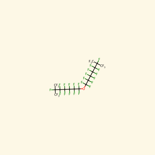 FC(F)(F)C(F)(C(F)(F)F)C(F)(F)C(F)(F)C(F)(F)C(F)(F)C(F)(F)OC(F)(F)C(F)(F)C(F)(F)C(F)(F)C(F)(F)C(F)(C(F)(F)F)C(F)(F)F